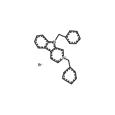 [Br-].c1ccc(Cn2c3ccccc3c3cc[n+](Cc4ccccc4)cc32)cc1